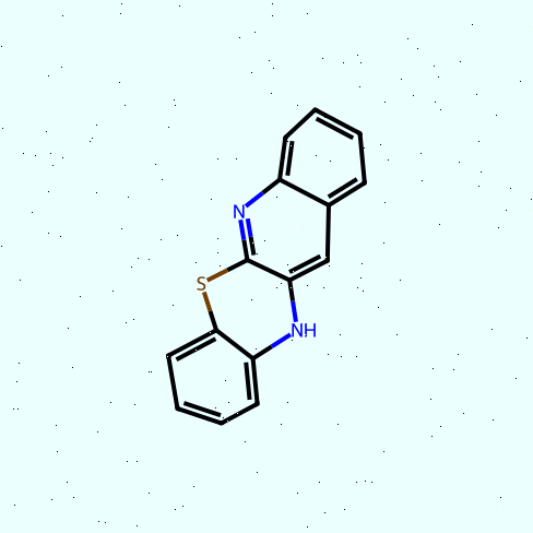 c1ccc2c(c1)Nc1cc3ccccc3nc1S2